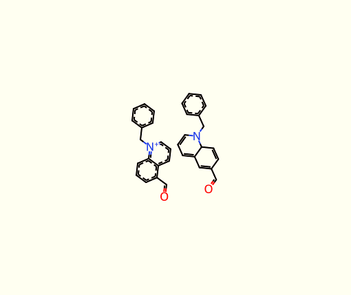 O=CC1=CC2=CC=CN(Cc3ccccc3)C2C=C1.O=Cc1cccc2c1ccc[n+]2Cc1ccccc1